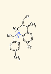 C=C(/C(C)=C\CC)c1ccc(C(C)C)cc1N[C@H](CC)c1ccc(C)cc1